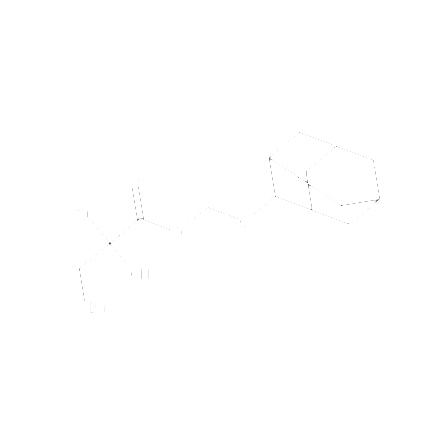 CC(C)(C)CC(C)(C(=O)OCOC1C2CC3CC(C2)CC1C3)C(C)(C)C